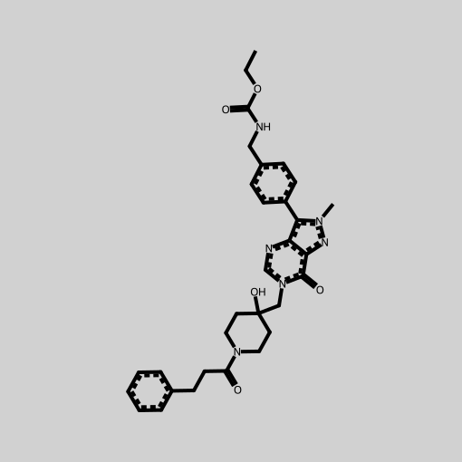 CCOC(=O)NCc1ccc(-c2c3ncn(CC4(O)CCN(C(=O)CCc5ccccc5)CC4)c(=O)c3nn2C)cc1